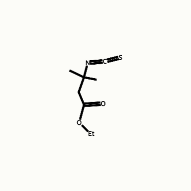 CCOC(=O)CC(C)(C)N=C=S